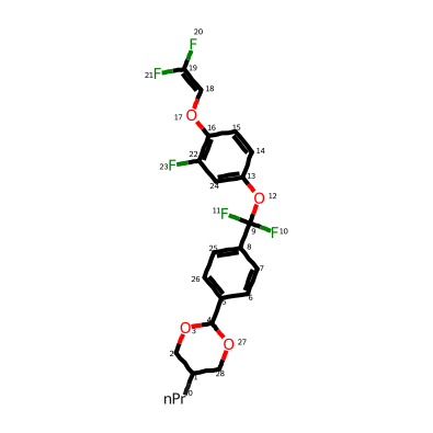 CCCC1COC(c2ccc(C(F)(F)Oc3ccc(OC=C(F)F)c(F)c3)cc2)OC1